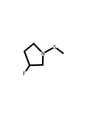 CSN1CCC(F)C1